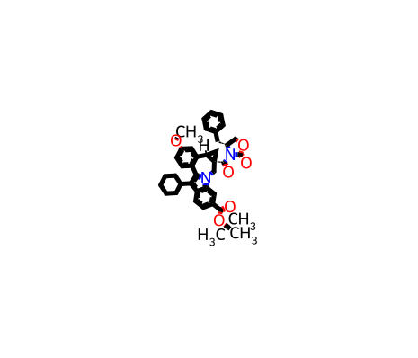 COc1ccc2c(c1)[C@H]1C[C@@]1(C(=O)N1C(=O)OC[C@H]1Cc1ccccc1)Cn1c-2c(C2CCCCC2)c2ccc(C(=O)OC(C)(C)C)cc21